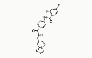 O=C(NCc1ccn2ccnc2c1)c1ccc(NC(=O)c2ccc(F)cc2F)cc1